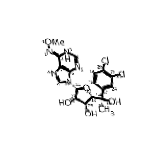 CO/N=c1\[nH]cnc2c1ncn2[C@@H]1O[C@H]([C@](C)(O)c2ccc(Cl)c(Cl)c2)[C@@H](O)[C@H]1O